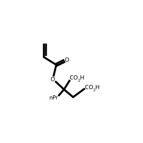 C=CC(=O)OC(CCC)(CC(=O)O)C(=O)O